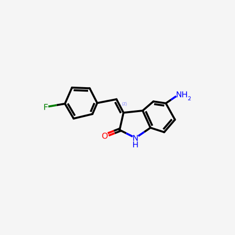 Nc1ccc2c(c1)/C(=C/c1ccc(F)cc1)C(=O)N2